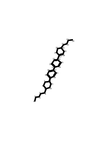 CCCCCC1CCC(c2ccc(-c3ccc(C4=CCC(CCCC)CC4)cc3)cc2)CC1